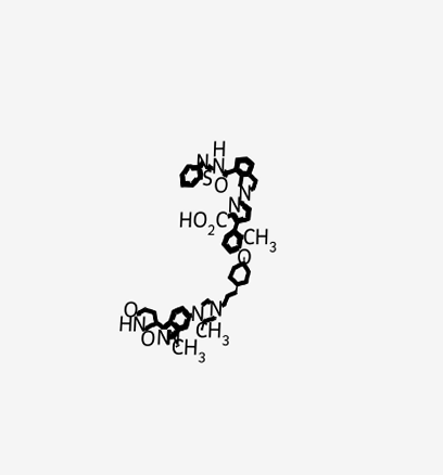 Cc1c(O[C@H]2CC[C@H](CCCN3CCN(c4ccc5c(C6CCC(=O)NC6=O)nn(C)c5c4)[C@H](C)C3)CC2)cccc1-c1ccc(N2CCc3cccc(C(=O)Nc4nc5ccccc5s4)c3C2)nc1C(=O)O